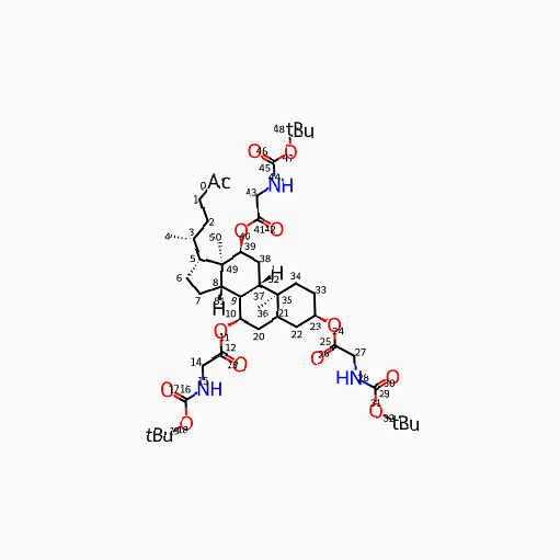 CC(=O)CC[C@@H](C)[C@H]1CC[C@H]2C3[C@H](OC(=O)CNC(=O)OC(C)(C)C)CC4C[C@H](OC(=O)CNC(=O)OC(C)(C)C)CC[C@]4(C)[C@H]3C[C@H](OC(=O)CNC(=O)OC(C)(C)C)[C@]12C